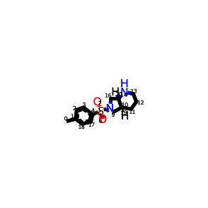 Cc1ccc(S(=O)(=O)N2C[C@@H]3CCCN[C@@H]3C2)cc1